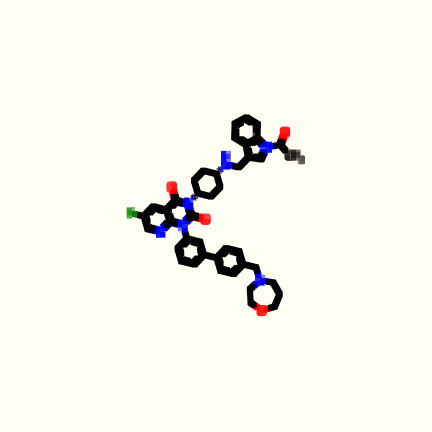 CC(=O)n1cc(CN[C@H]2CC[C@@H](n3c(=O)c4cc(F)cnc4n(-c4cccc(-c5ccc(CN6CCCOCC6)cc5)c4)c3=O)CC2)c2ccccc21